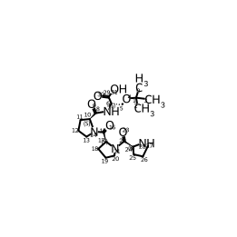 CC(C)(C)OC[C@H](NC(=O)[C@@H]1CCCN1C(=O)[C@@H]1CCCN1C(=O)[C@@H]1CCCN1)C(=O)O